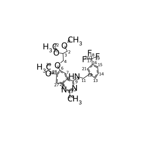 COCC(COc1cc2c(NCc3cccc(C(F)(F)F)c3)nc(C)nc2cc1OC)OC